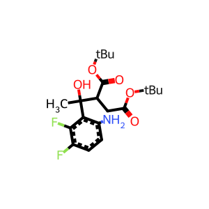 CC(C)(C)OC(=O)CC(C(=O)OC(C)(C)C)C(C)(O)c1c(N)ccc(F)c1F